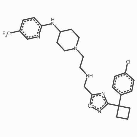 FC(F)(F)c1ccc(NC2CCN(CCNCc3nc(C4(c5ccc(Cl)cc5)CCC4)no3)CC2)nc1